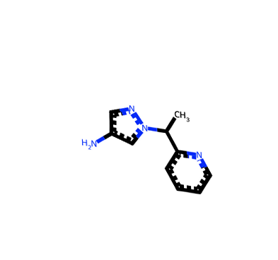 CC(c1ccccn1)n1cc(N)cn1